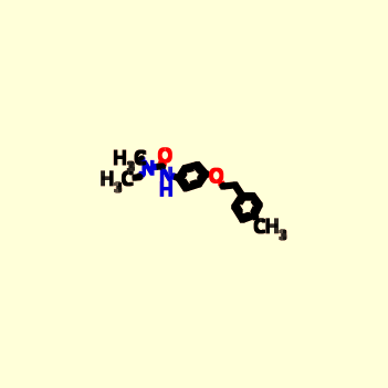 CCN(C)C(=O)Nc1ccc(OCCc2ccc(C)cc2)cc1